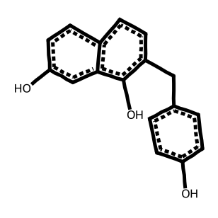 Oc1ccc(Cc2ccc3ccc(O)cc3c2O)cc1